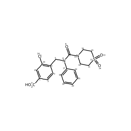 O=C(O)c1ccc(CN(C(=O)N2CCS(=O)(=O)CC2)c2ccccc2)c(Cl)c1